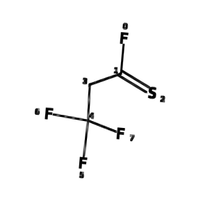 FC(=S)CC(F)(F)F